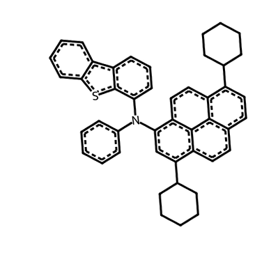 c1ccc(N(c2cc(C3CCCCC3)c3ccc4ccc(C5CCCCC5)c5ccc2c3c45)c2cccc3c2sc2ccccc23)cc1